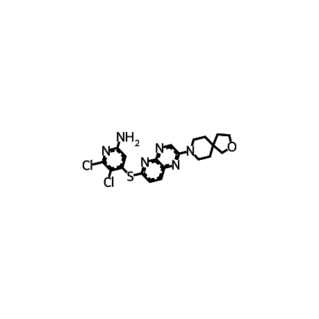 Nc1cc(Sc2ccc3nc(N4CCC5(CCOC5)CC4)cnc3n2)c(Cl)c(Cl)n1